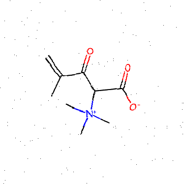 C=C(C)C(=O)C(C(=O)[O-])[N+](C)(C)C